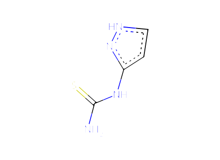 NC(=S)Nc1cc[nH]n1